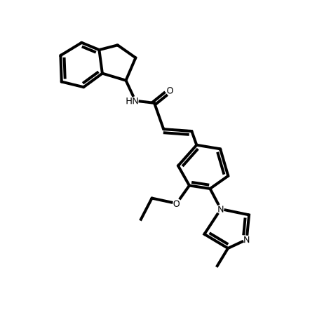 CCOc1cc(C=CC(=O)NC2CCc3ccccc32)ccc1-n1cnc(C)c1